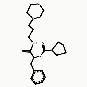 O=C(NC(Cc1ccccc1)C(=O)NCCCN1CCOCC1)[C]1CCCC1